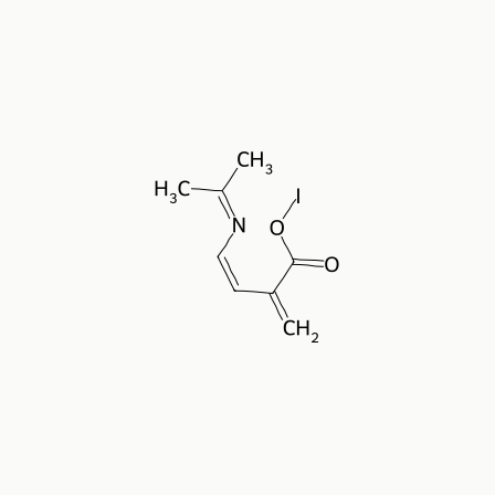 C=C(/C=C\N=C(C)C)C(=O)OI